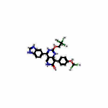 O=c1[nH]cc2c(-c3ccc4[nH]cnc4c3)nc(OCC(F)(F)F)nc2c1-c1ccc(OC(F)F)cc1